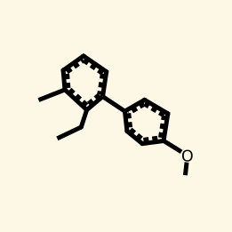 CCc1c(C)cccc1-c1ccc(OC)cc1